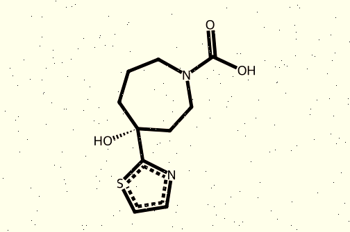 O=C(O)N1CCC[C@](O)(c2nccs2)CC1